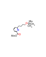 COC(=O)c1cccc(CCCCO[Si](C)(C)C(C)(C)C)n1